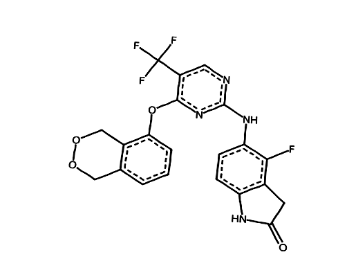 O=C1Cc2c(ccc(Nc3ncc(C(F)(F)F)c(Oc4cccc5c4COOC5)n3)c2F)N1